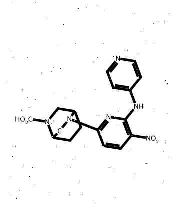 O=C(O)N1CC2CCC1CN2c1ccc([N+](=O)[O-])c(Nc2ccncc2)n1